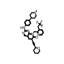 CN1CCC(c2ccc(Nc3ncc4cc(C#CC5CCCCO5)c(=O)n(Cc5ncccc5CC(F)(F)F)c4n3)cc2)CC1